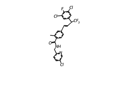 Cc1cc(/C=C/C(c2cc(Cl)c(F)c(Cl)c2)C(F)(F)F)ccc1C(=O)NCc1ccc(Cl)cn1